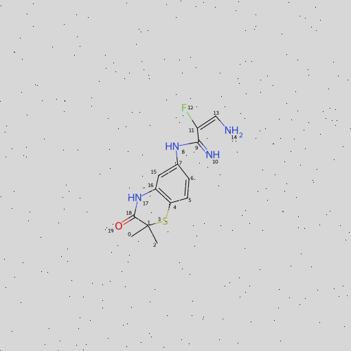 CC1(C)Sc2ccc(NC(=N)/C(F)=C\N)cc2NC1=O